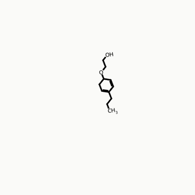 CCCC1=CCC(OCCO)C=C1